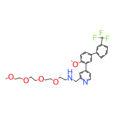 COCCOCCOCCOCCNCc1cc(-c2cc(-c3cccc(C(F)(F)F)c3)ccc2OC)ccn1